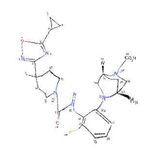 CC1(c2noc(C3CC3)n2)CCN(C(=O)Nc2c(F)cccc2N2C[C@H]3C[C@@H]2CN3C(=O)O)CC1